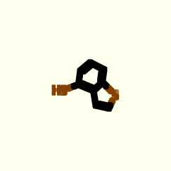 Sc1cccc2sccc12